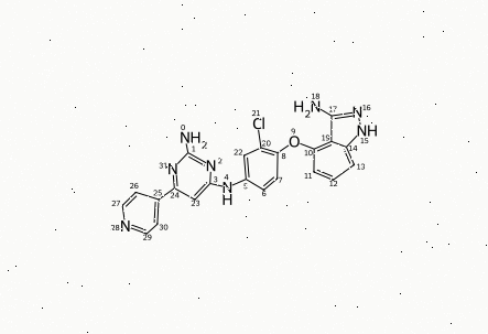 Nc1nc(Nc2ccc(Oc3cccc4[nH]nc(N)c34)c(Cl)c2)cc(-c2ccncc2)n1